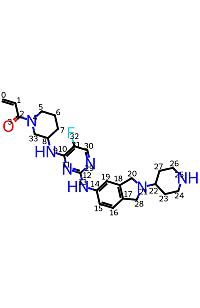 C=CC(=O)N1CCCC(Nc2nc(Nc3ccc4c(c3)CN(C3CCNCC3)C4)ncc2F)C1